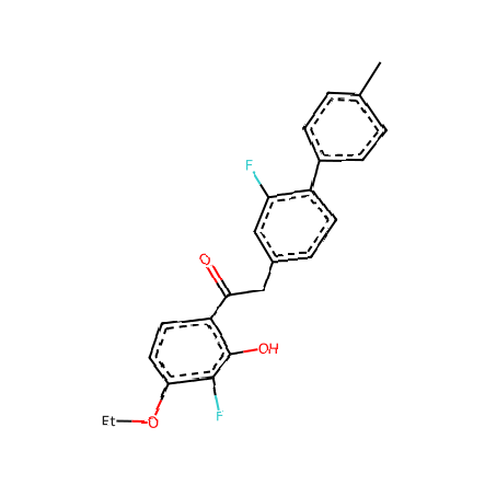 CCOc1ccc(C(=O)Cc2ccc(-c3ccc(C)cc3)c(F)c2)c(O)c1F